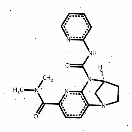 CN(C)C(=O)c1ccc2c(n1)N(C(=O)Nc1ccccn1)[C@H]1CCN2C1